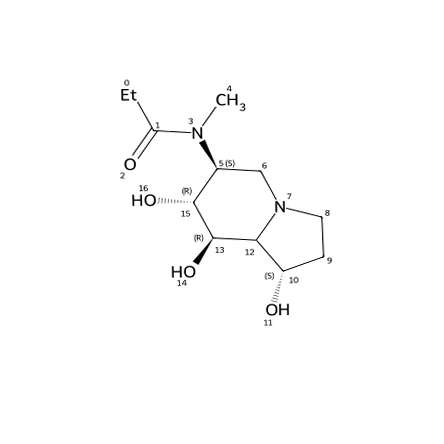 CCC(=O)N(C)[C@H]1CN2CC[C@H](O)C2[C@@H](O)[C@@H]1O